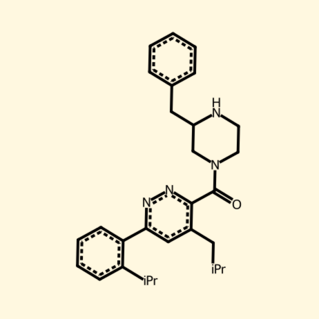 CC(C)Cc1cc(-c2ccccc2C(C)C)nnc1C(=O)N1CCNC(Cc2ccccc2)C1